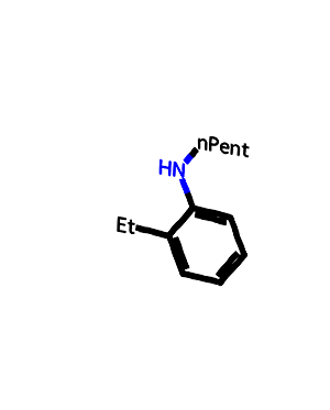 CCCCCNc1ccccc1CC